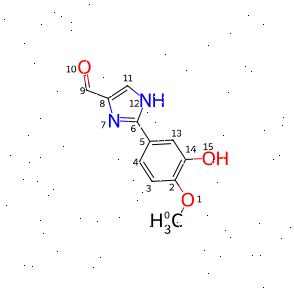 COc1ccc(-c2nc(C=O)c[nH]2)cc1O